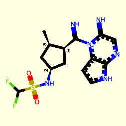 C[C@@H]1C[C@H](NS(=O)(=O)C(F)F)C[C@@H]1C(=N)n1c(=N)cnc2[nH]ccc21